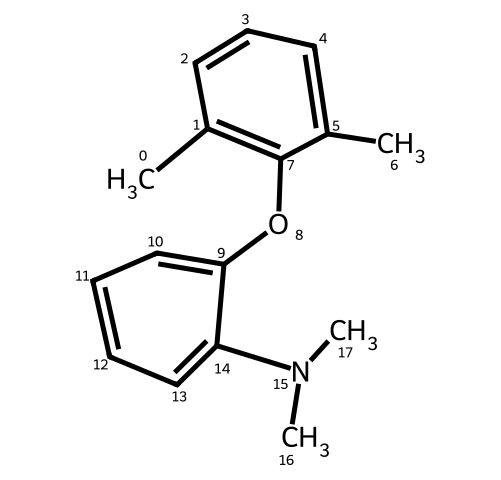 Cc1cccc(C)c1Oc1ccccc1N(C)C